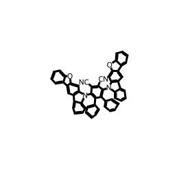 N#Cc1c(C#N)c(-n2c3ccccc3c3cc4c(cc32)oc2ccccc24)c(-c2ccccc2)c(-c2ccccc2)c1-n1c2ccccc2c2cc3c(cc21)oc1ccccc13